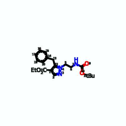 CCOC(=O)c1cnn(CCNC(=O)OC(C)(C)C)c1Cc1ccccc1